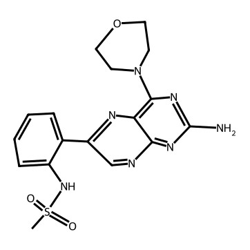 CS(=O)(=O)Nc1ccccc1-c1cnc2nc(N)nc(N3CCOCC3)c2n1